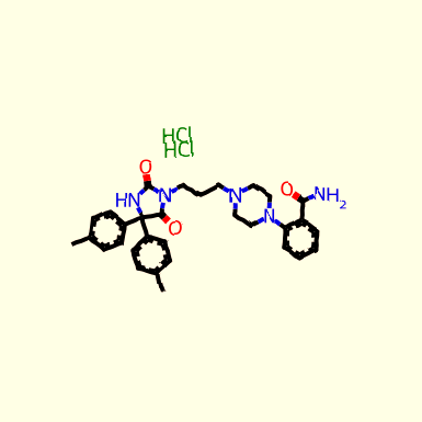 Cc1ccc(C2(c3ccc(C)cc3)NC(=O)N(CCCN3CCN(c4ccccc4C(N)=O)CC3)C2=O)cc1.Cl.Cl